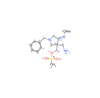 CO/N=C1\CN(Cc2ccccc2)CC1(CN)COS(C)(=O)=O